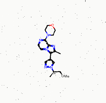 COC[C@@H](C)n1cc(-c2c(C)nc3c(N4CCOCC4)nccn23)cn1